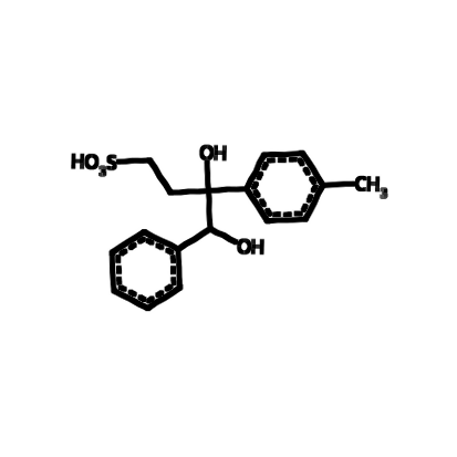 Cc1ccc(C(O)(CCS(=O)(=O)O)C(O)c2ccccc2)cc1